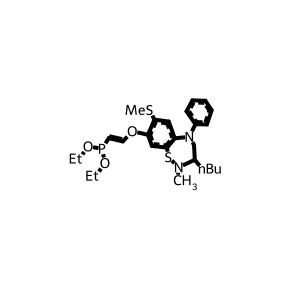 CCCCC1CN(c2ccccc2)c2cc(SC)c(O/C=C/P(OCC)OCC)cc2SN1C